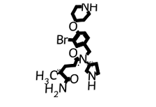 C[C@@H](C[CH]C(=O)N(Cc1ccc(OC2CCNCC2)c(Br)c1)[C@H]1CCNC1)C(N)=O